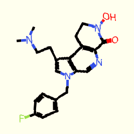 CN(C)CCc1cn(Cc2ccc(F)cc2)c2cnc3c(c12)CCN(O)C3=O